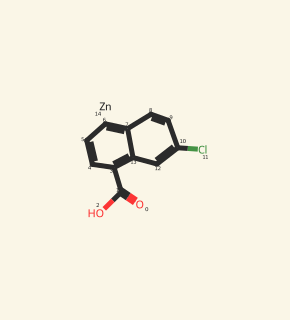 O=C(O)c1cccc2ccc(Cl)cc12.[Zn]